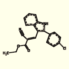 CCOC(=O)C(C#N)=Cc1c(-c2ccc(Cl)cc2)[nH]c2ccccc12